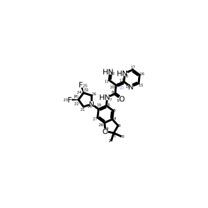 CC1(C)Cc2cc(NC(=O)/C(C=N)=C3\N=CC=CN3)c(N3C[C@@H](F)[C@@H](F)C3)cc2O1